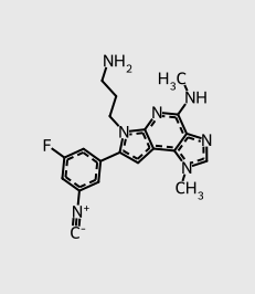 [C-]#[N+]c1cc(F)cc(-c2cc3c4c(ncn4C)c(NC)nc3n2CCCN)c1